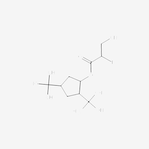 CCC(I)C(=O)OC1CC(C(C)(C)O)CC1C(C)(C)O